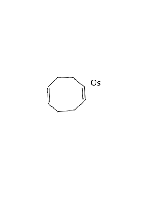 C1=CCCC=CCC1.[Os]